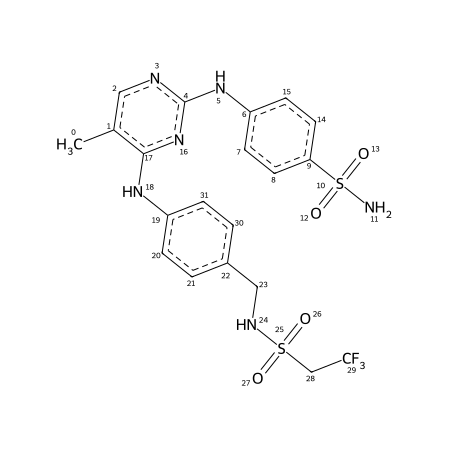 Cc1cnc(Nc2ccc(S(N)(=O)=O)cc2)nc1Nc1ccc(CNS(=O)(=O)CC(F)(F)F)cc1